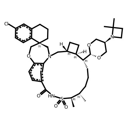 C[C@@H]1[C@@H](C)CCC[C@@H]([C@H]2OC[C@H](N3CCC3(C)C)CO2)[C@@H]2CC[C@H]2CN2C[C@@]3(CCCc4cc(Cl)ccc43)COc3ccc(cc32)C(=O)NS1(=O)=O